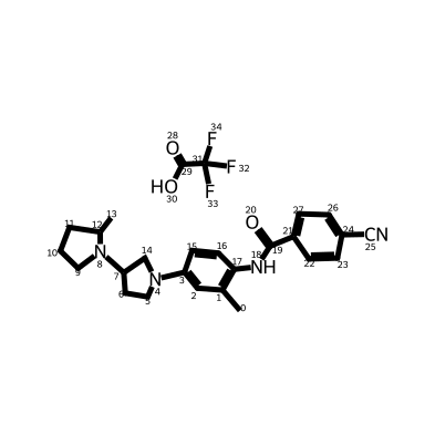 Cc1cc(N2CCC(N3CCCC3C)C2)ccc1NC(=O)c1ccc(C#N)cc1.O=C(O)C(F)(F)F